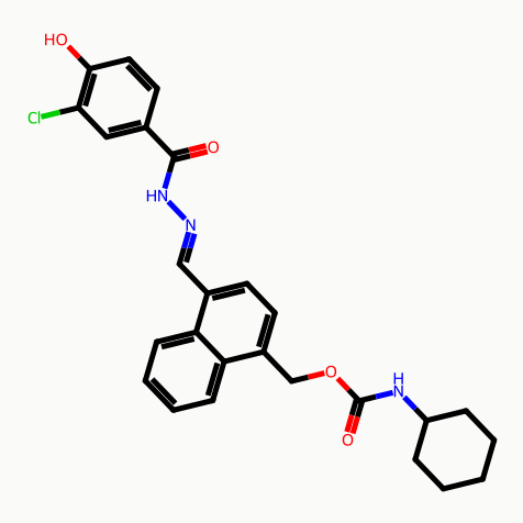 O=C(NC1CCCCC1)OCc1ccc(C=NNC(=O)c2ccc(O)c(Cl)c2)c2ccccc12